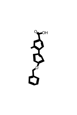 Cc1cc(C(=O)O)ccc1-c1ccc(OCc2ccccc2)cc1